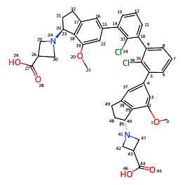 COc1cc(-c2cccc(-c3cccc(-c4cc5c(c(OC)c4)[C@@H](N4CC(C(=O)O)C4)CC5)c3Cl)c2Cl)cc2c1[C@H](N1CC(C(=O)O)C1)CC2